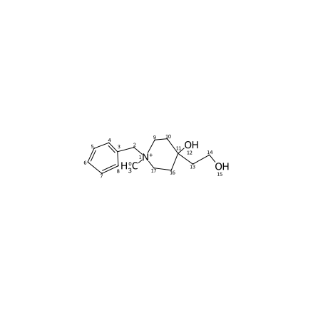 C[N+]1(Cc2ccccc2)CCC(O)(CCO)CC1